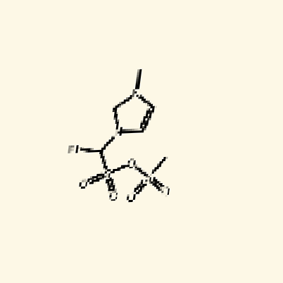 CCC(N1C=CN(C)C1)S(=O)(=O)OS(C)(=O)=O